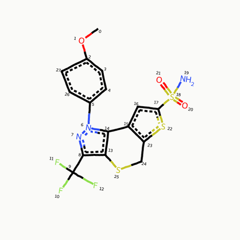 COc1ccc(-n2nc(C(F)(F)F)c3c2-c2cc(S(N)(=O)=O)sc2CS3)cc1